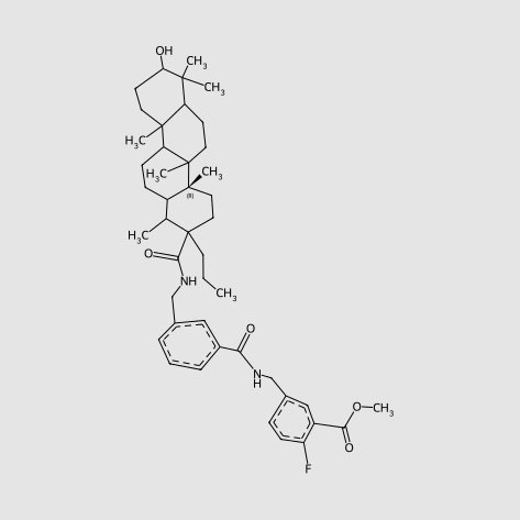 CCCC1(C(=O)NCc2cccc(C(=O)NCc3ccc(F)c(C(=O)OC)c3)c2)CC[C@]2(C)C(CCC3C4(C)CCC(O)C(C)(C)C4CCC32C)C1C